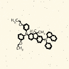 CCOc1cccc(N(c2cccc(OCC)c2)c2ccc3c(c2)C(C)(C)c2cc(N(c4ccccc4)c4cccc5ccccc45)ccc2-3)c1